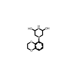 OC1CN(c2cccc3c2OCCO3)CC(O)N1